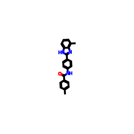 Cc1ccc(C(=O)Nc2ccc(-c3nc4c(C)cccc4[nH]3)cc2)cc1